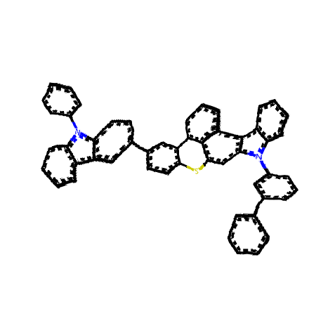 c1ccc(-c2cccc(-n3c4ccccc4c4c5cccc6c5c(cc43)Sc3ccc(-c4ccc5c(c4)c4ccccc4n5-c4ccccc4)cc3-6)c2)cc1